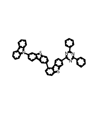 c1ccc(-c2nc(-c3ccccc3)nc(-c3ccc4c(c3)sc3cccc(-c5ccc6sc7cc(-n8c9ccccc9c9ccccc98)ccc7c6c5)c34)n2)cc1